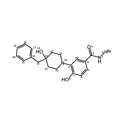 CCCNC(=O)c1ccc(O)c(N2CCC(O)(Cc3ccccc3)CC2)c1